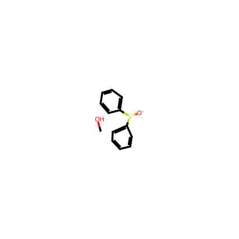 CO.[O-][S+](c1ccccc1)c1ccccc1